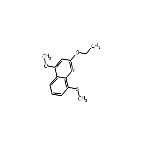 CCOc1cc(OC)c2cccc(SC)c2n1